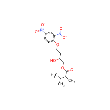 CC(C)C(C)C(=O)OCC(O)CCOc1ccc([N+](=O)[O-])cc1[N+](=O)[O-]